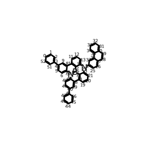 c1ccc(-c2ccc3c(c2)-c2cccc4c2B2c5c(cccc5N4c4ccc5ccc6ccccc6c5c4)-c4cc(-c5ccccc5)ccc4N23)cc1